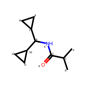 CC(C)C(=O)NC(C1CC1)C1CC1